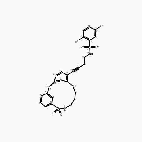 O=S1(=O)NCCCNc2nc(ncc2C#CCCNS(=O)(=O)c2cc(F)ccc2F)Nc2cccc1c2